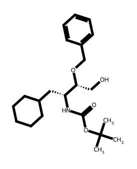 CC(C)(C)OC(=O)N[C@H](CC1CCCCC1)[C@@H](CO)OCc1ccccc1